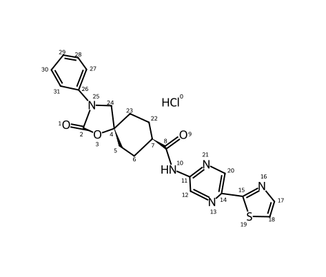 Cl.O=C1O[C@]2(CC[C@H](C(=O)Nc3cnc(-c4nccs4)cn3)CC2)CN1c1ccccc1